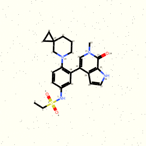 CCS(=O)(=O)Nc1ccc(N2CCCC3(CC3)C2)c(-c2cn(C)c(=O)c3[nH]ccc23)c1